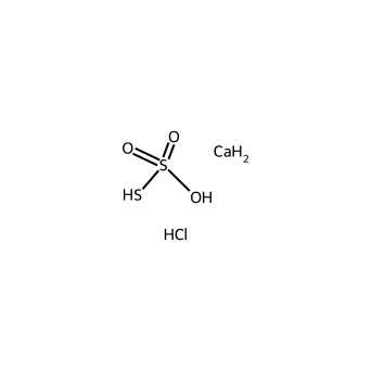 Cl.O=S(=O)(O)S.[CaH2]